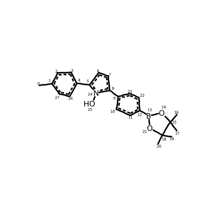 Cc1ccc(-c2ccc(-c3ccc(B4OC(C)(C)C(C)(C)O4)cc3)n2O)cc1